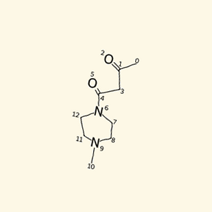 CC(=O)CC(=O)N1CCN(C)CC1